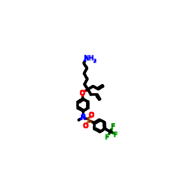 C=CCC(CC=C)(CCCCCN)Oc1ccc(N(C)S(=O)(=O)c2ccc(C(F)(F)F)cc2)cc1